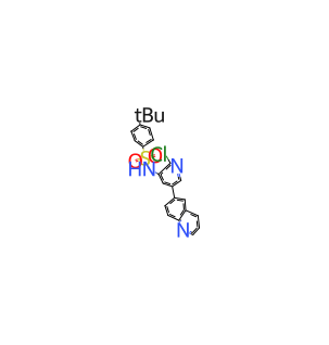 CC(C)(C)c1ccc(S(=O)(=O)Nc2cc(-c3ccc4ncccc4c3)cnc2Cl)cc1